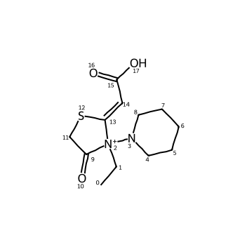 CC[N+]1(N2CCCCC2)C(=O)CS/C1=C\C(=O)O